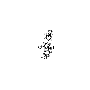 CCN1CCN(c2cc(Cl)nc(NC3CCC(O)CC3)n2)CC1